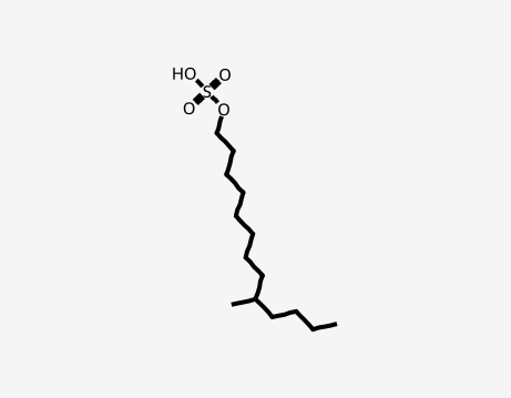 CCCCC(C)CCCCCCCCOS(=O)(=O)O